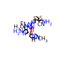 CCN(c1nc(OC[C@@H]2CC[C@@H]3CN(C)CCN32)nc(N2CC3(C2)SCc2sc(N)c(C#N)c23)n1)[C@H](C)c1cccnc1N